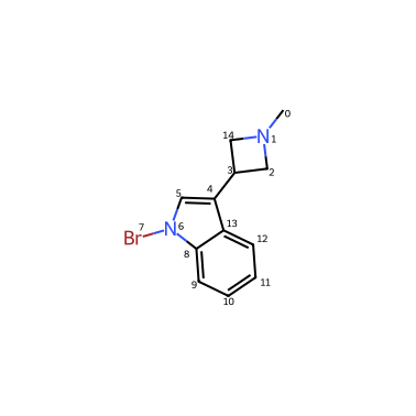 CN1CC(c2cn(Br)c3ccccc23)C1